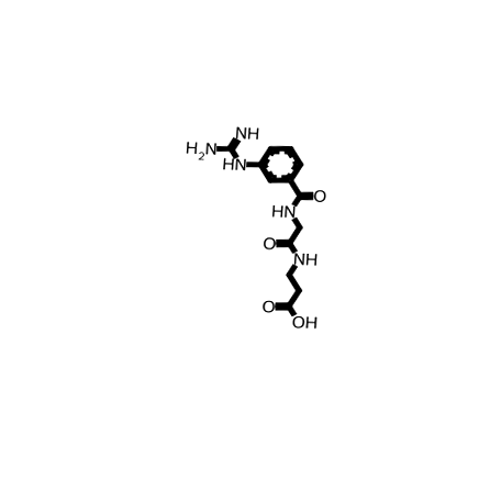 N=C(N)Nc1cccc(C(=O)NCC(=O)NCCC(=O)O)c1